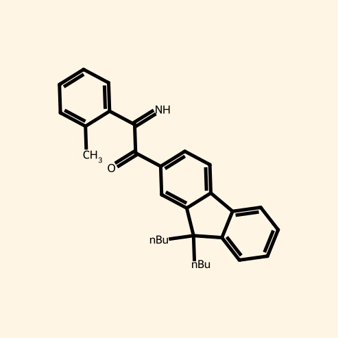 CCCCC1(CCCC)c2ccccc2-c2ccc(C(=O)C(=N)c3ccccc3C)cc21